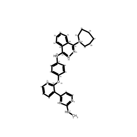 CNc1nccc(-c2cccnc2Oc2ccc(Nc3nnc(N4CCCCCC4)c4ccccc34)cc2)n1